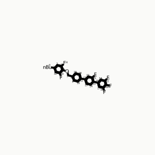 CCCCc1cc(F)c(OCc2ccc(-c3ccc(-c4cc(F)c(F)c(F)c4)c(F)c3)cc2)c(F)c1